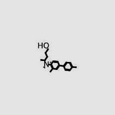 C=[N+](c1ccc(-c2ccc(C)cc2)cc1C)C(C)CCCO